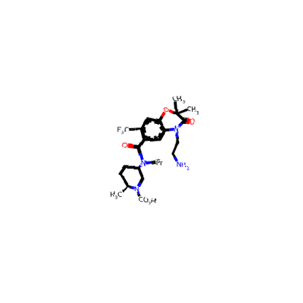 CC(C)N(C(=O)c1cc2c(cc1C(F)(F)F)OC(C)(C)C(=O)N2CCN)[C@@H]1CC[C@H](C)N(C(=O)O)C1